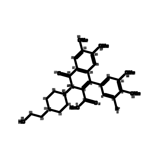 COC(=O)c1c(-c2cc(Br)c(OC)c(OC)c2)c2cc(OC)c(OC)cc2c(=O)n1N1CCN(CCO)CC1